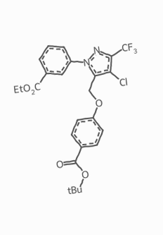 CCOC(=O)c1cccc(-n2nc(C(F)(F)F)c(Cl)c2COc2ccc(C(=O)OC(C)(C)C)cc2)c1